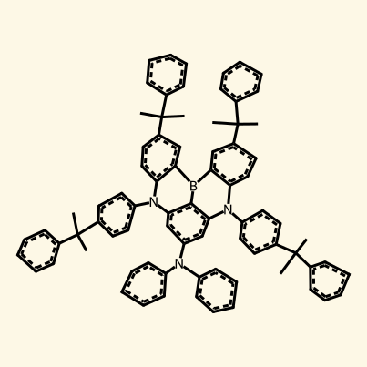 CC(C)(c1ccccc1)c1ccc(N2c3ccc(C(C)(C)c4ccccc4)cc3B3c4cc(C(C)(C)c5ccccc5)ccc4N(c4ccc(C(C)(C)c5ccccc5)cc4)c4cc(N(c5ccccc5)c5ccccc5)cc2c43)cc1